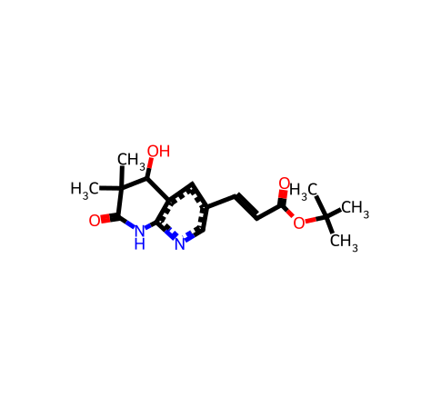 CC(C)(C)OC(=O)C=Cc1cnc2c(c1)C(O)C(C)(C)C(=O)N2